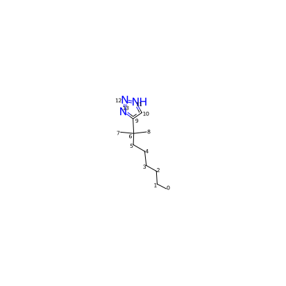 CCCCCCC(C)(C)c1c[nH]nn1